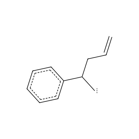 [C]C(CC=C)c1ccccc1